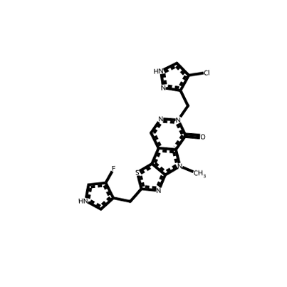 Cn1c2nc(Cc3c[nH]cc3F)sc2c2cnn(Cc3n[nH]cc3Cl)c(=O)c21